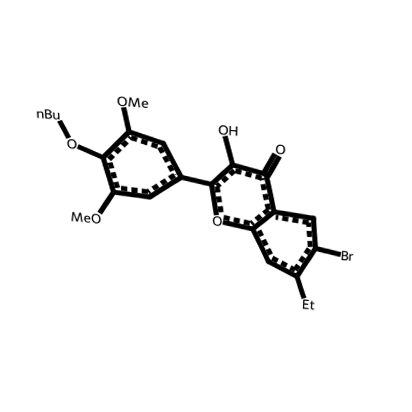 CCCCOc1c(OC)cc(-c2oc3cc(CC)c(Br)cc3c(=O)c2O)cc1OC